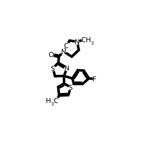 Cc1csc(C2(c3ccc(F)cc3)CSC(C(=O)N3CCN(C)CC3)=N2)c1